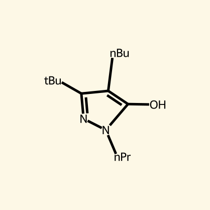 CCCCc1c(C(C)(C)C)nn(CCC)c1O